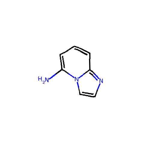 Nc1cccc2nccn12